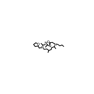 CCCCN(Cc1nc(C)no1)C(C)CCC(C)CCN(CC1CCCO1)C(C)C